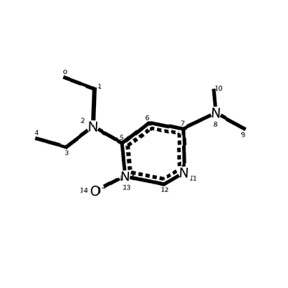 CCN(CC)c1cc(N(C)C)nc[n+]1[O-]